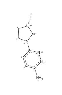 Nc1ccc(N2CC[C@H](F)C2)nn1